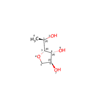 C[C@@H](O)[C@H]1OC[C@H](O)[C@H]1O